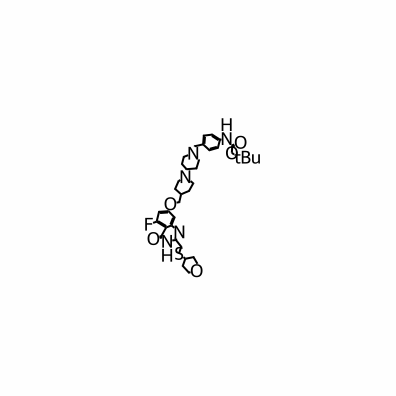 CC(C)(C)OC(=O)Nc1ccc(CN2CCC(N3CCC(COc4cc(F)c5c(=O)[nH]c(CSC6CCOCC6)nc5c4)CC3)CC2)cc1